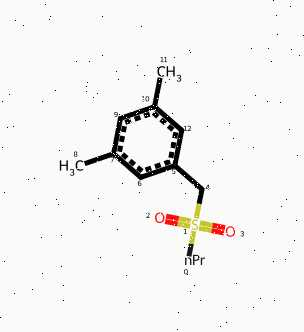 CCCS(=O)(=O)Cc1cc(C)cc(C)c1